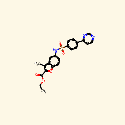 CCOC(=O)c1oc2ccc(NS(=O)(=O)c3ccc(-c4ccncn4)cc3)cc2c1C